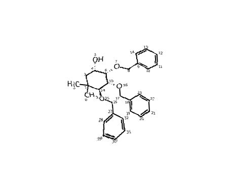 CC1(C)C[C@H](O)[C@H](OCc2ccccc2)[C@H](OCc2ccccc2)[C@H]1OCc1ccccc1